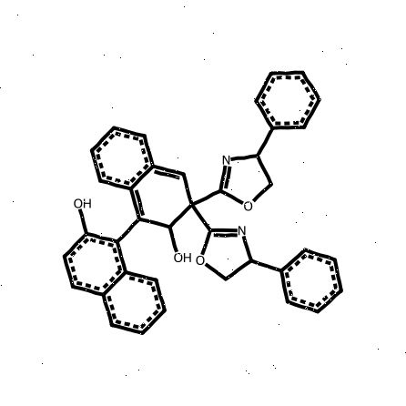 Oc1ccc2ccccc2c1C1=c2ccccc2=CC(C2=NC(c3ccccc3)CO2)(C2=NC(c3ccccc3)CO2)C1O